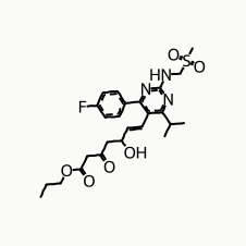 CCCOC(=O)CC(=O)CC(O)C=Cc1c(-c2ccc(F)cc2)nc(NCS(C)(=O)=O)nc1C(C)C